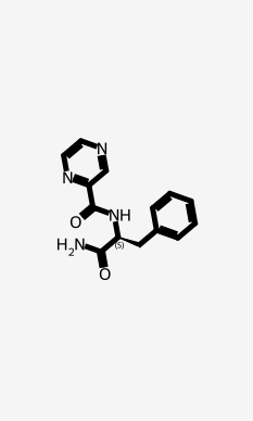 NC(=O)[C@H](Cc1ccccc1)NC(=O)c1cnccn1